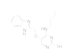 CCCCNc1nc(S)ncc1OCc1nc2ccccc2[nH]1